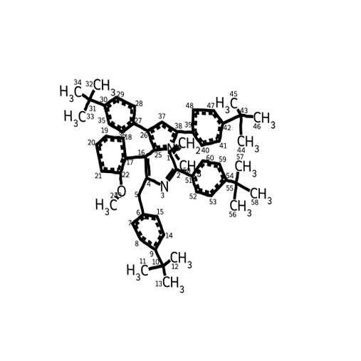 C=C/C(=N\C(Cc1ccc(C(C)(C)C)cc1)=C(\c1ccccc1OC)c1c(-c2ccc(C(C)(C)C)cc2)cc(-c2ccc(C(C)(C)C)cc2)n1C)c1ccc(C(C)(C)C)cc1